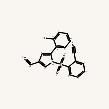 N#Cc1ccccc1S(=O)(=O)n1cc(C=O)cc1-c1ccccc1F